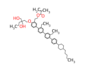 C=C(C)C(=O)OCCc1cc(-c2ccc(-c3ccc(-c4ccc(C5CCC(CCCCC)CC5)cc4)c(CC)c3)cc2CC)ccc1OCCC(CO)(CO)CCC